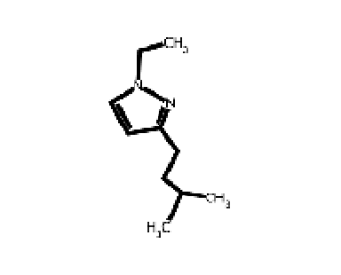 CCn1ccc(CCC(C)C)n1